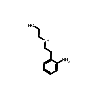 Nc1ccccc1CCNCCO